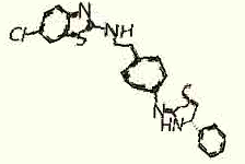 Clc1ccc2nc(NCCc3ccc(/N=C4/N[C@@H](c5ccccc5)CS4)cc3)sc2c1